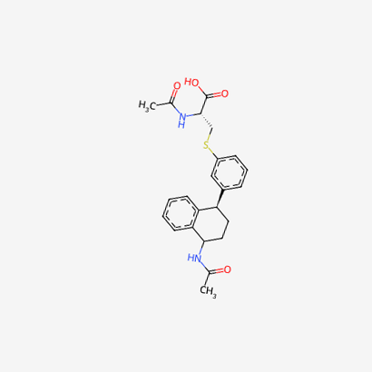 CC(=O)NC1CC[C@H](c2cccc(SC[C@H](NC(C)=O)C(=O)O)c2)c2ccccc21